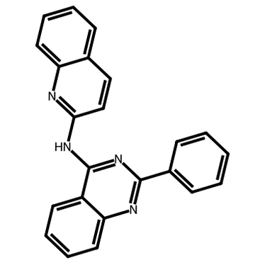 c1ccc(-c2nc(Nc3ccc4ccccc4n3)c3ccccc3n2)cc1